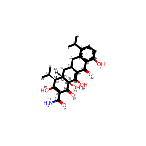 CC(C)c1ccc(O)c2c1CC1C[C@H]3[C@H](C(C)C)C(O)=C(C(N)=O)C(=O)[C@@]3(O)C(O)=C1C2=O